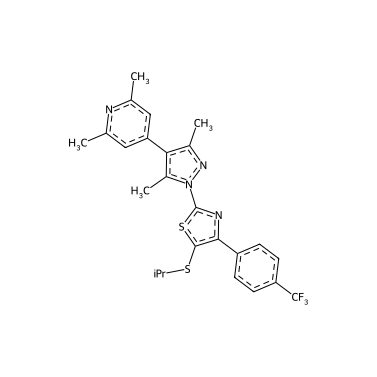 Cc1cc(-c2c(C)nn(-c3nc(-c4ccc(C(F)(F)F)cc4)c(SC(C)C)s3)c2C)cc(C)n1